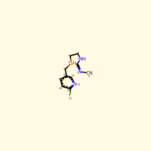 N#CN=C1NCC[SH]1Cc1ccc(F)nc1